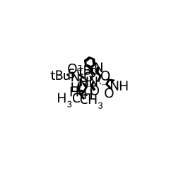 CC(C)(C)[C@H](N[S+]([O-])C(C)(C)C)C(=O)N1C[C@H]2[C@@H]([C@H]1C(=O)N[C@@H](C[C@@H]1CCNC1=O)C(=O)c1nc3ccccc3s1)C2(C)C